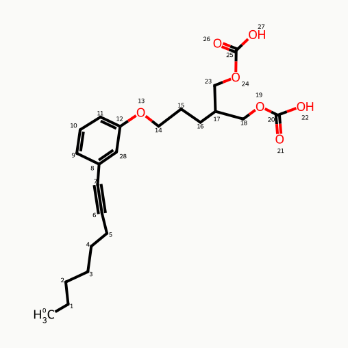 CCCCCCC#Cc1cccc(OCCCC(COC(=O)O)COC(=O)O)c1